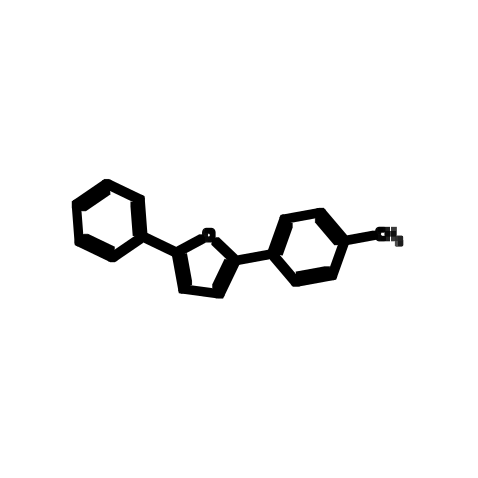 Cc1ccc(-c2ccc(-c3ccccc3)o2)cc1